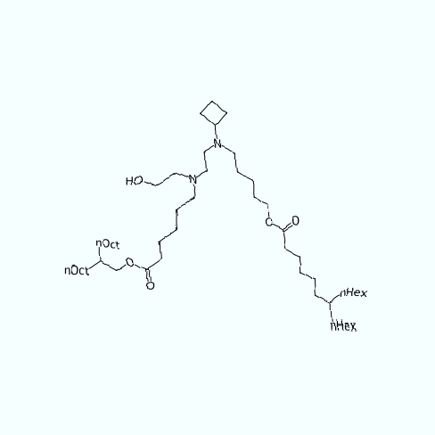 CCCCCCCCC(CCCCCCCC)COC(=O)CCCCCN(CCO)CCN(CCCCCOC(=O)CCCCCC(CCCCCC)CCCCCC)C1CCC1